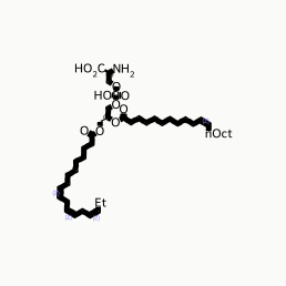 CC/C=C\C/C=C\C/C=C\CCCCCCCC(=O)OC[C@H](COP(=O)(O)OC[C@H](N)C(=O)O)OC(=O)CCCCCCCCC/C=C\CCCCCCCC